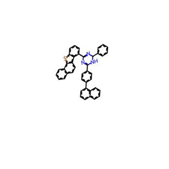 c1ccc(C2N=C(c3cccc4sc5c6ccccc6ccc5c34)N=C(c3ccc(-c4cccc5ccccc45)cc3)N2)cc1